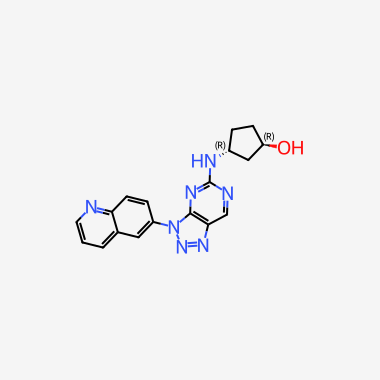 O[C@@H]1CC[C@@H](Nc2ncc3nnn(-c4ccc5ncccc5c4)c3n2)C1